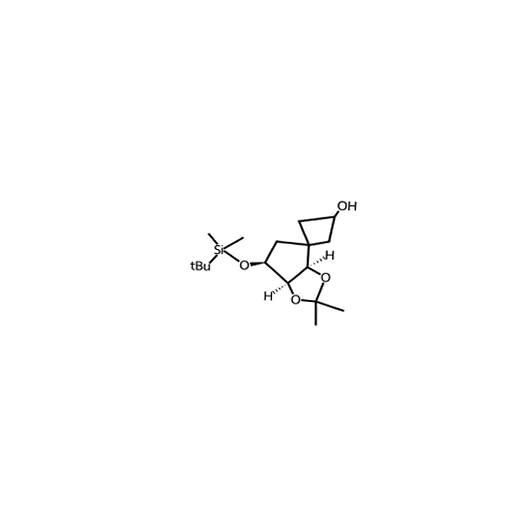 CC1(C)O[C@H]2[C@@H](O[Si](C)(C)C(C)(C)C)CC3(CC(O)C3)[C@H]2O1